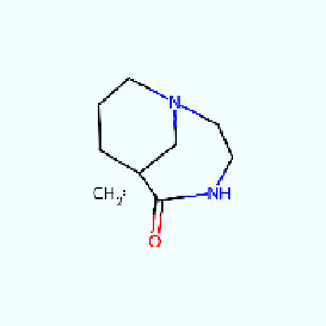 O=C1NCCN2CCCC1C2.[CH2]